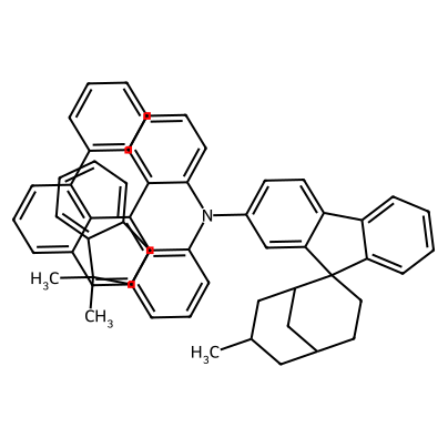 CC1CC2CCC3(c4ccccc4-c4ccc(N(c5ccccc5-c5cccc6cccc(-c7ccccc7)c56)c5cccc6c5-c5ccccc5C6(C)C)cc43)C(C1)C2